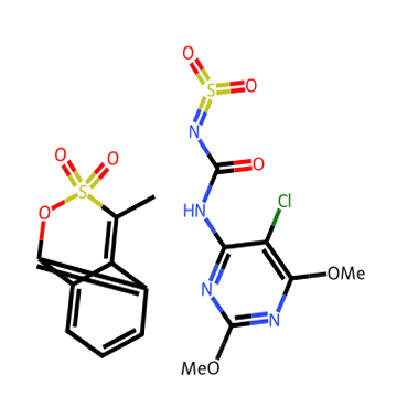 CC1=c2c3cccc2=C3OS1(=O)=O.COc1nc(NC(=O)N=S(=O)=O)c(Cl)c(OC)n1